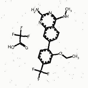 CCOc1cc(C(F)(F)F)ccc1-c1ccc2c(NC)nc(N)nc2c1.O=C(O)C(F)(F)F